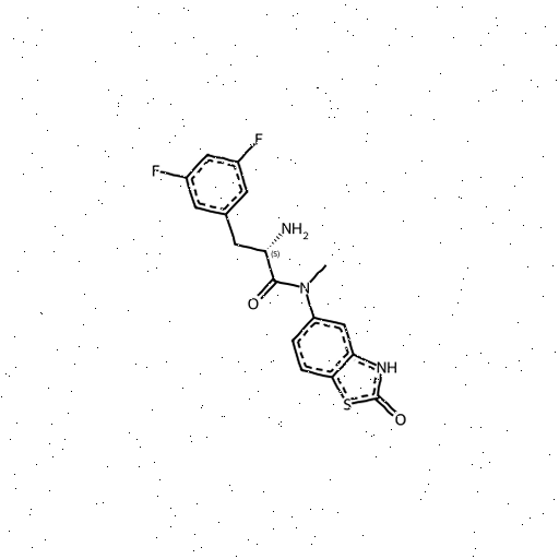 CN(C(=O)[C@@H](N)Cc1cc(F)cc(F)c1)c1ccc2sc(=O)[nH]c2c1